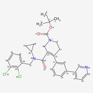 CC(C)(C)OC(=O)N1CCC(c2cccc(-c3cccnc3)c2)=C(C(=O)N(Cc2cccc(Cl)c2Cl)C2CC2)C1